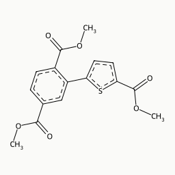 COC(=O)c1ccc(C(=O)OC)c(-c2ccc(C(=O)OC)s2)c1